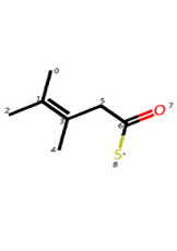 CC(C)=C(C)CC(=O)[S]